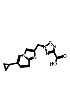 O=C(O)c1nnn(Cc2cn3cc(C4CC4)ccc3n2)n1